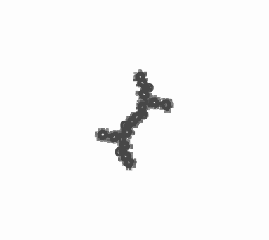 c1ccc2cc3c(cc2c1)oc1cc(N(c2ccc(C4CCCCC4)cc2)c2ccc4c(c2)oc2cc5cc6c(cc5cc24)oc2cc(N(c4ccc(C5CCCCC5)cc4)c4ccc5c(c4)oc4cc7ccccc7cc45)ccc26)ccc13